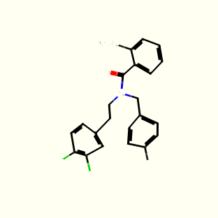 CNc1ccccc1C(=O)N(CCc1ccc(Cl)c(Cl)c1)Cc1ccc(C(C)(C)C)cc1